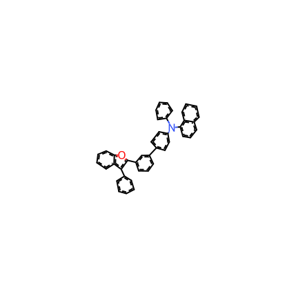 c1ccc(-c2c(-c3cccc(-c4ccc(N(c5ccccc5)c5cccc6ccccc56)cc4)c3)oc3ccccc23)cc1